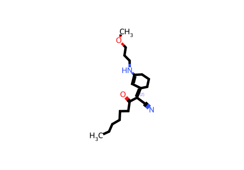 CCCCCCC(=O)/C(C#N)=C1\C=C(NCCCOC)CCC1